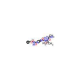 CNCC(=O)NC(CC(C)C)C(=O)NCC(=O)N1CC2(CCN(C(=O)CNC(=O)OCc3ccccc3)CC2)C1